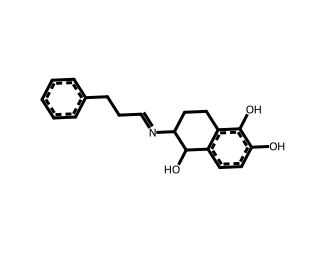 Oc1ccc2c(c1O)CCC(N=CCCc1ccccc1)C2O